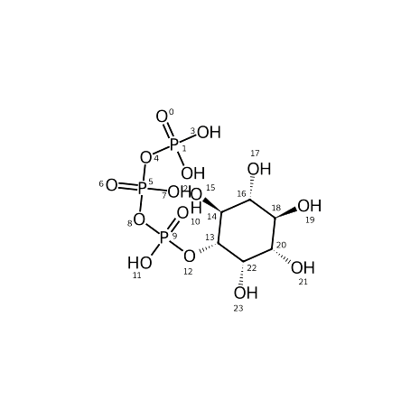 O=P(O)(O)OP(=O)(O)OP(=O)(O)O[C@@H]1[C@@H](O)[C@H](O)[C@@H](O)[C@H](O)[C@@H]1O